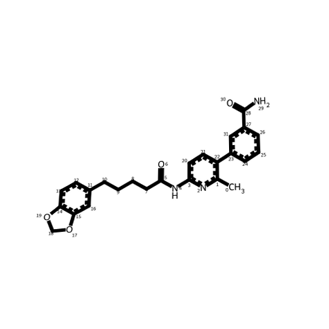 Cc1nc(NC(=O)CCCCc2ccc3c(c2)OCO3)ccc1-c1cccc(C(N)=O)c1